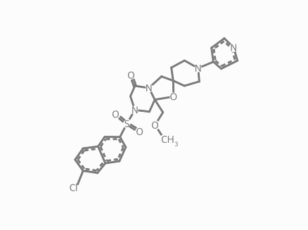 COCC12CN(S(=O)(=O)c3ccc4cc(Cl)ccc4c3)CC(=O)N1CC1(CCN(c3ccncc3)CC1)O2